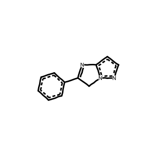 c1ccc(C2=Nc3ccnn3C2)cc1